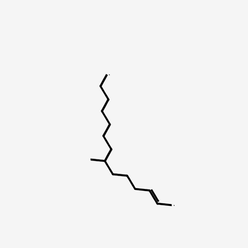 [CH2]/C=C/CCCC(C)CCCCCC[CH2]